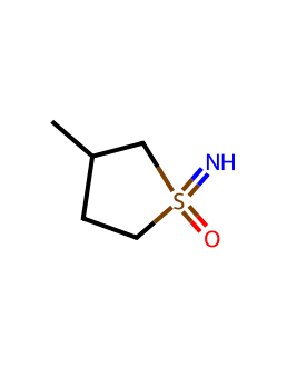 CC1CCS(=N)(=O)C1